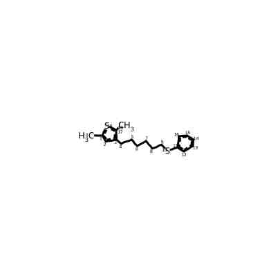 Cc1cc(CCCCCCSc2ccccc2)c(C)s1